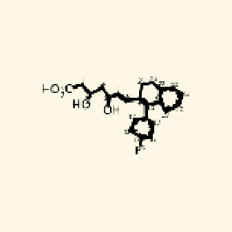 O=C(O)CC(O)CC(O)/C=C/C1=C(c2ccc(F)cc2)c2ccccc2CC1